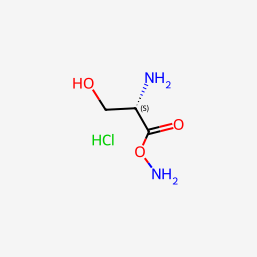 Cl.NOC(=O)[C@@H](N)CO